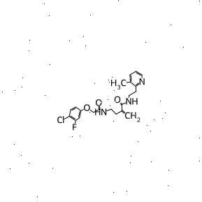 C=C(CCNC(=O)COc1ccc(Cl)c(F)c1)C(=O)NCCc1ncccc1C